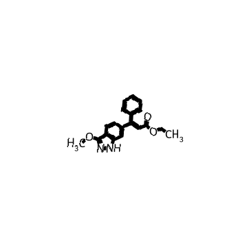 CCOC(=O)C=C(c1ccccc1)c1ccc2c(OC)n[nH]c2c1